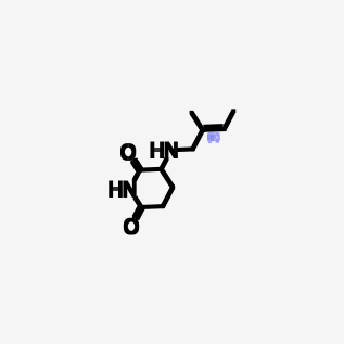 C/C=C(\C)CNC1CCC(=O)NC1=O